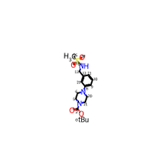 CC(C)(C)OC(=O)N1CCN(c2cccc(CNS(C)(=O)=O)c2)CC1